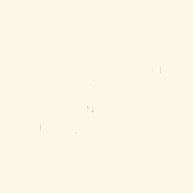 Cc1oc(-c2ccccc2)nc1Cc1ccc(C=CCO)o1